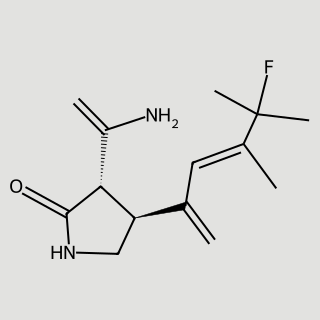 C=C(N)[C@H]1C(=O)NC[C@@H]1C(=C)/C=C(\C)C(C)(C)F